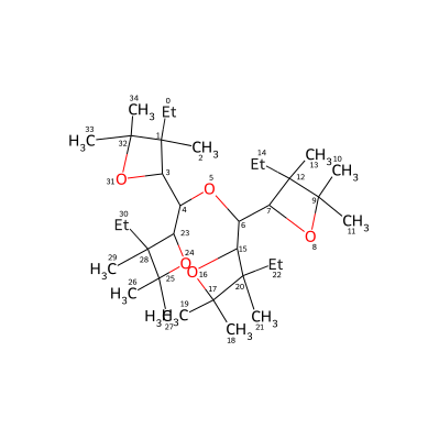 CCC1(C)C(C(OC(C2OC(C)(C)C2(C)CC)C2OC(C)(C)C2(C)CC)C2OC(C)(C)C2(C)CC)OC1(C)C